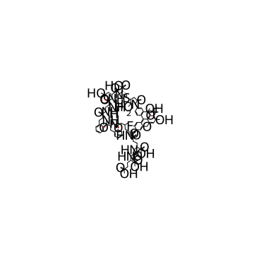 CC(CCNC(=O)CC[C@H](NC(=O)NC(CCC(=O)O)C(=O)O)C(=O)O)CC(=O)N[C@@H](Cc1ccccc1)C(=O)NC(Cc1ccccc1)C(=O)NC[C@H](N)C(=O)N[C@@H](CC(=O)O)C(=O)N[C@@H](CSC1CC(=O)N(c2ccc(-c3c4cc(F)c(=O)cc-4oc4cc(O)c(F)cc34)c(C(=O)O)c2)C1O)C(=O)O